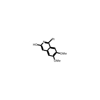 COc1cc2cc(O)nc(C(C)C)c2cc1OC